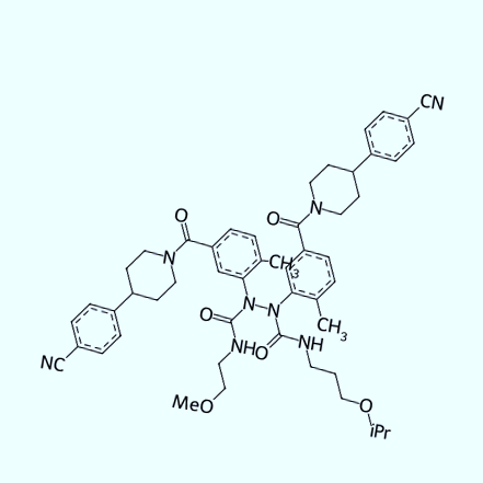 COCCNC(=O)N(c1cc(C(=O)N2CCC(c3ccc(C#N)cc3)CC2)ccc1C)N(C(=O)NCCCOC(C)C)c1cc(C(=O)N2CCC(c3ccc(C#N)cc3)CC2)ccc1C